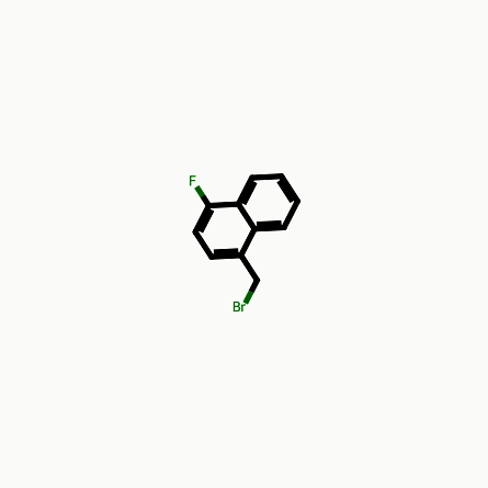 Fc1ccc(CBr)c2ccccc12